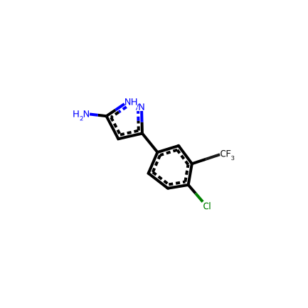 Nc1cc(-c2ccc(Cl)c(C(F)(F)F)c2)n[nH]1